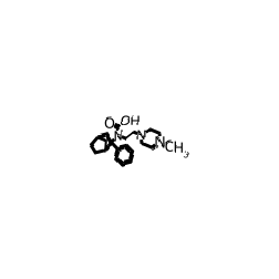 CN1CCN(CCN(C(=O)O)C2(c3ccccc3)CC3CCC2C3)CC1